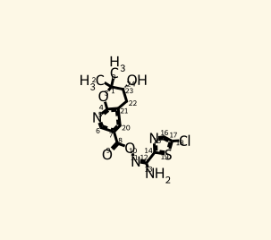 CC1(C)Oc2ncc(C(=O)O/N=C(/N)c3ncc(Cl)s3)cc2C[C@H]1O